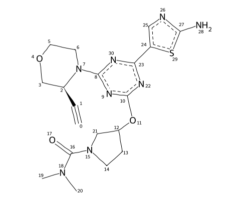 C#C[C@H]1COCCN1c1nc(OC2CCN(C(=O)N(C)C)C2)nc(-c2cnc(N)s2)n1